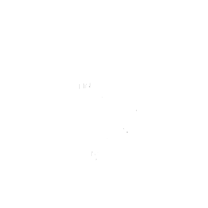 C=CCNc1ccnc2[nH]ccc12